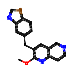 COc1nc2ccncc2cc1Cc1ccc2scnc2c1